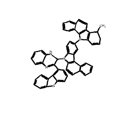 CC1CC=Cc2c1c1ccc3ccccc3c1n2-c1ccc2c(c1)c1c3ccccc3ccc1n2C1Nc2ccccc2N=C1c1cccc2sc3ccccc3c12